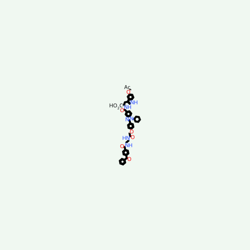 CC(=O)COc1ccc2[nH]cc(C[C@H](NC(=O)c3ccc4c(c3)nc(-c3ccc(OCC(=O)NCCNC(=O)c5ccc(C(=O)c6ccccc6)cc5)cc3)n4C3CCCCC3)C(=O)O)c2c1